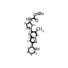 Cc1cn2nc(C3CCCCN3)cc2nc1N1CC[C@H](NC(=O)OC(C)(C)C)C1